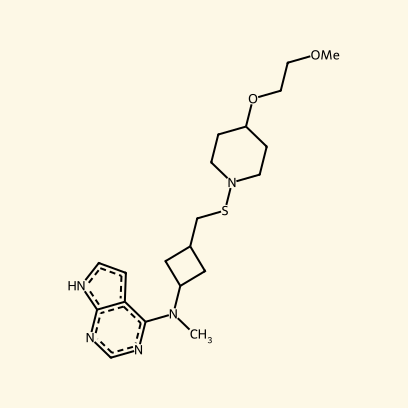 COCCOC1CCN(SCC2CC(N(C)c3ncnc4[nH]ccc34)C2)CC1